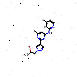 Cc1ccnc(Nc2cc(C)nc(-c3cnn(C[C@@H](O)C(=O)O)c3)n2)c1